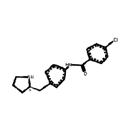 O=C(Nc1ccc(C[C@H]2CCCN2)cc1)c1ccc(Cl)cc1